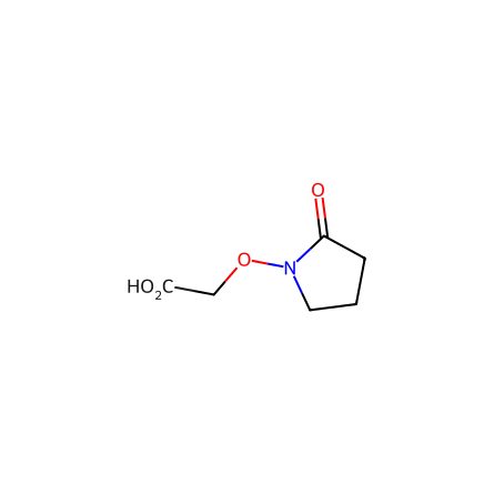 O=C(O)CON1CCCC1=O